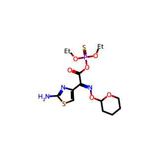 CCOP(=S)(OCC)OC(=O)C(=NOC1CCCCO1)c1csc(N)n1